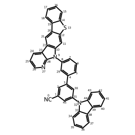 N#Cc1cc(-c2cccc(-n3c4cc5sc6ccccc6c5cc4c4cccnc43)c2)cc(-n2c3ccccc3c3ccccc32)c1